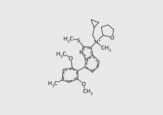 COc1cc(C)cc(OC)c1-c1cccc2c([N+](C)(CC3CC3)C3CCCO3)c(SC)nn12